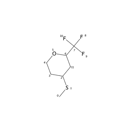 CSC1CCOC(C(F)(F)F)C1